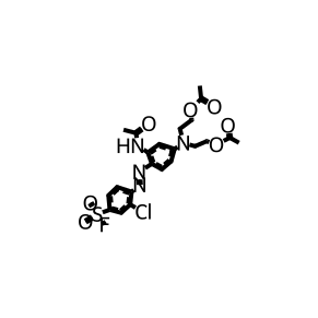 CC(=O)Nc1cc(N(CCOC(C)=O)CCOC(C)=O)ccc1/N=N/c1ccc(S(=O)(=O)F)cc1Cl